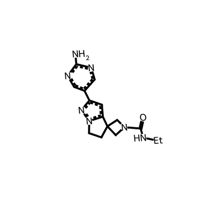 CCNC(=O)N1CC2(CCn3nc(-c4cnc(N)nc4)cc32)C1